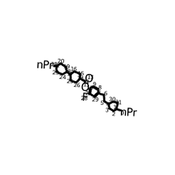 CCCC1CCC(CCc2ccc(OC(=O)C3CCC(C4CCC(CCC)CC4)CC3)c(F)c2)CC1